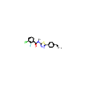 C=Cc1ccc(-c2nnc(N(CC)C(=O)c3cccc(Cl)c3F)s2)cc1